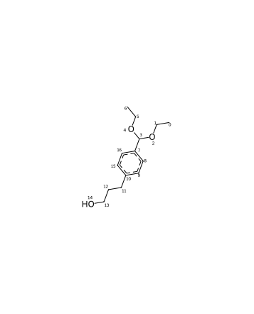 CCOC(OCC)c1ccc(CCCO)cc1